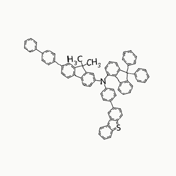 CC1(C)c2cc(-c3ccc(-c4ccccc4)cc3)ccc2-c2ccc(N(c3ccc(-c4ccc5sc6ccccc6c5c4)cc3)c3cccc4c3-c3ccccc3C4(c3ccccc3)c3ccccc3)cc21